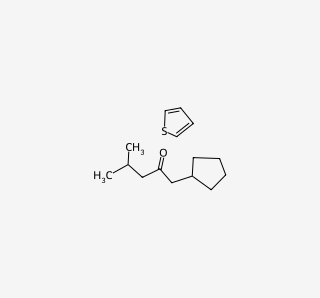 CC(C)CC(=O)CC1CCCC1.c1ccsc1